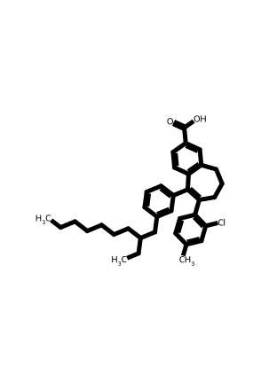 CCCCCCCC(CC)Cc1cccc(C2=C(c3ccc(C)cc3Cl)CCCc3cc(C(=O)O)ccc32)c1